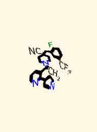 C=C(c1cccnc1-c1ccncc1)N1CCC(C#N)(Cc2cc(C(F)(F)F)ccc2F)CC1